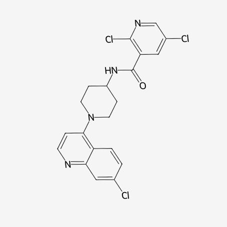 O=C(NC1CCN(c2ccnc3cc(Cl)ccc23)CC1)c1cc(Cl)cnc1Cl